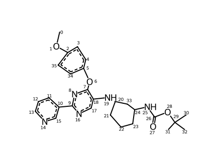 COc1ccc(Oc2nc(-c3cccnc3)ncc2NC2CCCC(NC(=O)OC(C)(C)C)C2)cc1